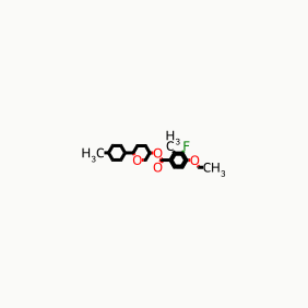 CCOc1ccc(C(=O)OC2CCC(C3CCC(C)CC3)OC2)c(C)c1F